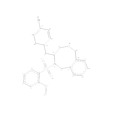 COc1ccccc1S(=O)(=O)N1Cc2ccccc2COCC1CC1C=CC(Br)=CC1